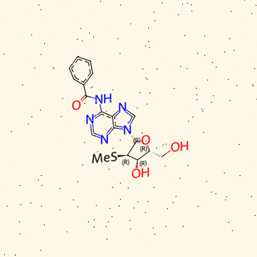 CS[C@@H]1[C@H](O)[C@@H](CO)O[C@H]1n1cnc2c(NC(=O)c3ccccc3)ncnc21